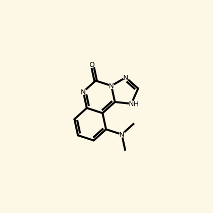 CN(C)c1cccc2nc(=O)n3nc[nH]c3c12